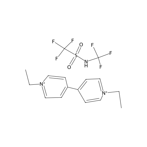 CC[n+]1ccc(-c2cc[n+](CC)cc2)cc1.O=S(=O)(NC(F)(F)F)C(F)(F)F